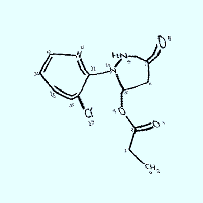 CCC(=O)OC1CC(=O)NN1c1ncccc1Cl